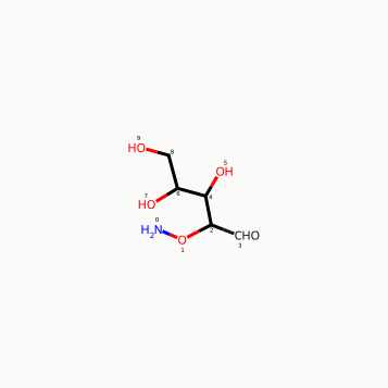 NOC(C=O)C(O)C(O)CO